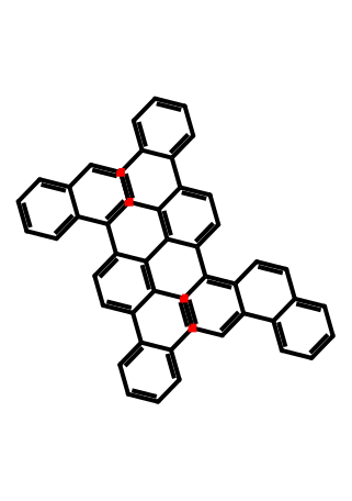 c1ccc2c(-c3ccc4c(ccc5ccccc54)c3-c3c(-c4cccc5c4ccc4ccccc45)ccc4c3ccc3ccccc34)cccc2c1